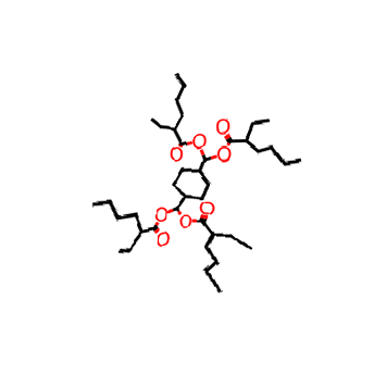 CCCCC(CC)C(=O)OC(OC(=O)C(CC)CCCC)C1CCC(C(OC(=O)C(CC)CCCC)OC(=O)C(CC)CCCC)CC1